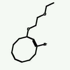 CCOCCOC1/C=C(/Br)CCCCCCC1